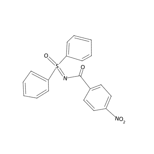 O=C(N=S(=O)(c1ccccc1)c1ccccc1)c1ccc([N+](=O)[O-])cc1